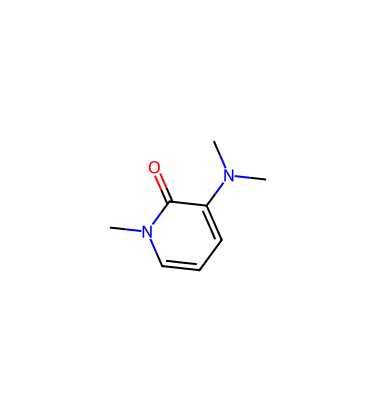 CN(C)c1cccn(C)c1=O